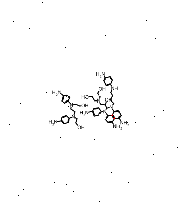 Nc1ccc(N(CCO)CCN(CCO)c2ccc(N)cc2)cc1.Nc1ccc(NCCCCN(c2ccc(N)cc2)C(C(O)CN(CCO)CCO)N(c2ccc(N)cc2)c2ccc(N)cc2)cc1